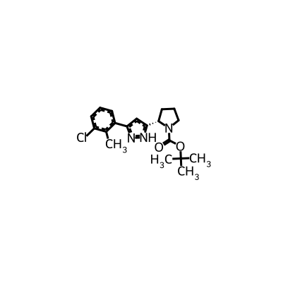 Cc1c(Cl)cccc1-c1cc([C@@H]2CCCN2C(=O)OC(C)(C)C)[nH]n1